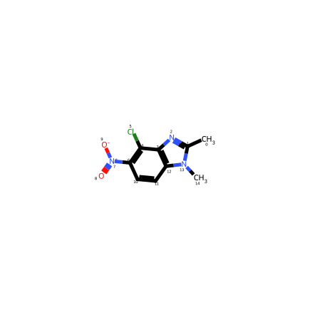 Cc1nc2c(Cl)c([N+](=O)[O-])ccc2n1C